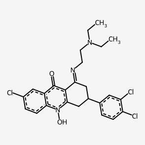 CCN(CC)CCN=C1CC(c2ccc(Cl)c(Cl)c2)Cc2c1c(=O)c1cc(Cl)ccc1n2O